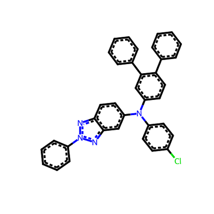 Clc1ccc(N(c2ccc(-c3ccccc3)c(-c3ccccc3)c2)c2ccc3nn(-c4ccccc4)nc3c2)cc1